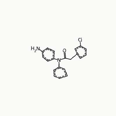 Nc1ccc(N(C(=O)Cc2cccc(Cl)c2)c2ccccc2)cc1